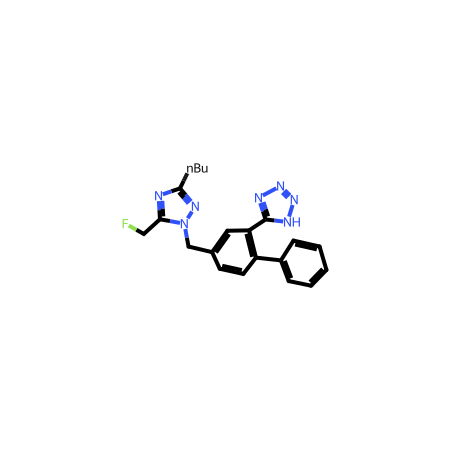 CCCCc1nc(CF)n(Cc2ccc(-c3ccccc3)c(-c3nnn[nH]3)c2)n1